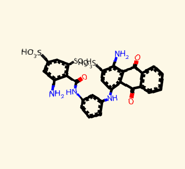 Nc1cc(S(=O)(=O)O)cc(S(=O)(=O)O)c1C(=O)Nc1cccc(Nc2cc(S(=O)(=O)O)c(N)c3c2C(=O)c2ccccc2C3=O)c1